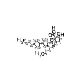 CCCCCCN(Cc1ccc(O)c(C(=O)O)c1)C(=O)c1ccc(-c2ccc(CCCC)cc2)cc1